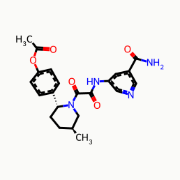 CC(=O)Oc1ccc([C@H]2CC[C@H](C)CN2C(=O)C(=O)Nc2cncc(C(N)=O)c2)cc1